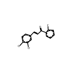 O=C(C=Cc1ccc(Cl)c(Cl)c1)c1ccccc1F